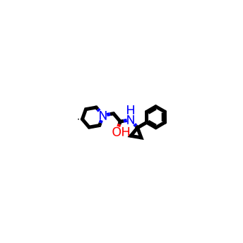 OC(CN1CC[CH]CC1)NC1(c2ccccc2)CC1